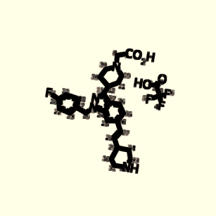 O=C(O)C(F)(F)F.O=C(O)CN1CCC(c2nn(Cc3ccc(F)cc3)c3cc(C=CC4CCNCC4)ccc23)CC1